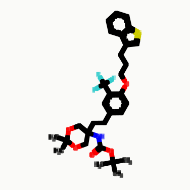 CC(C)(C)OC(=O)NC1(CCc2ccc(OCCCc3csc4ccccc34)c(C(F)(F)F)c2)COC(C)(C)OC1